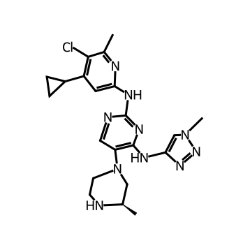 Cc1nc(Nc2ncc(N3CCN[C@H](C)C3)c(Nc3cn(C)nn3)n2)cc(C2CC2)c1Cl